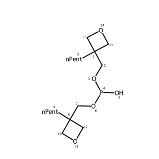 CCCCCC1(COP(O)OCC2(CCCCC)COC2)COC1